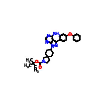 CC(C)(C)OC(=O)N1CCC2(CCC(n3nc(-c4ccc(Oc5ccccc5)cc4)c4c(N)ncnc43)CC2)C1